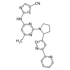 Cc1cc(Nc2ncc(C#N)s2)nc(N2CCCC2c2cc(-c3ccccn3)no2)n1